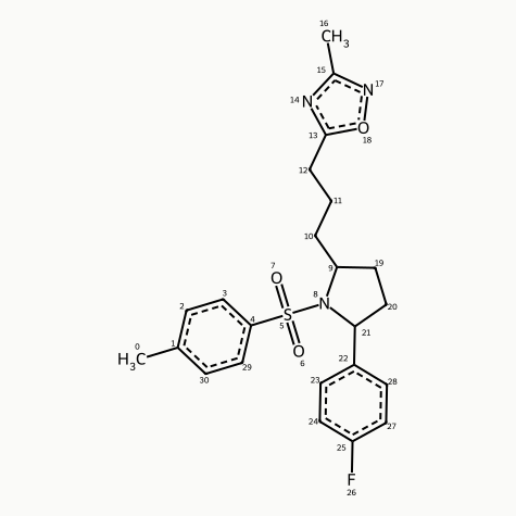 Cc1ccc(S(=O)(=O)N2C(CCCc3nc(C)no3)CCC2c2ccc(F)cc2)cc1